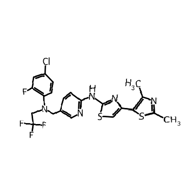 Cc1nc(C)c(-c2csc(Nc3ccc(CN(CC(F)(F)F)c4ccc(Cl)cc4F)cn3)n2)s1